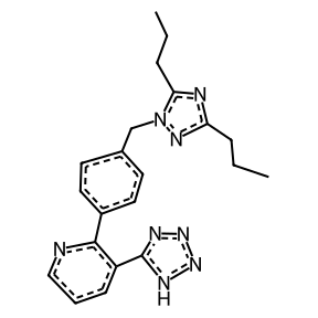 CCCc1nc(CCC)n(Cc2ccc(-c3ncccc3-c3nnn[nH]3)cc2)n1